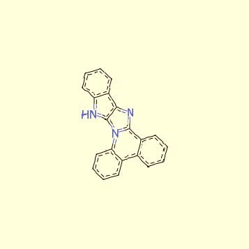 c1ccc2c(c1)[nH]c1c2nc2c3ccccc3c3ccccc3n21